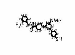 CNc1nc(-c2ccc(S)cc2)nc(N2CCC(C(=O)NCc3ccccc3C(F)(F)F)CC2)n1